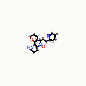 O=[N+]1C2=C(NCCC2)C2=C(C=CCO2)C1CCc1ccccn1